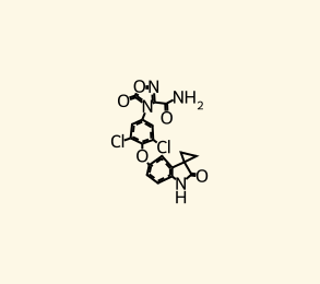 NC(=O)c1noc(=O)n1-c1cc(Cl)c(Oc2ccc3c(c2)C2(CC2)C(=O)N3)c(Cl)c1